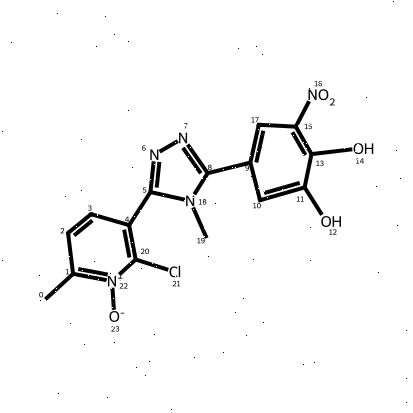 Cc1ccc(-c2nnc(-c3cc(O)c(O)c([N+](=O)[O-])c3)n2C)c(Cl)[n+]1[O-]